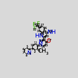 Cc1cc(-c2ccccn2)ccc1-n1ccc(=O)c(/C(=C/C=N)Nc2cccc(C(F)(F)F)c2)n1